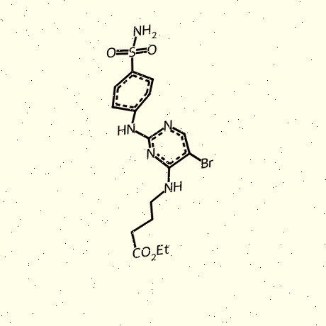 CCOC(=O)CCCNc1nc(Nc2ccc(S(N)(=O)=O)cc2)ncc1Br